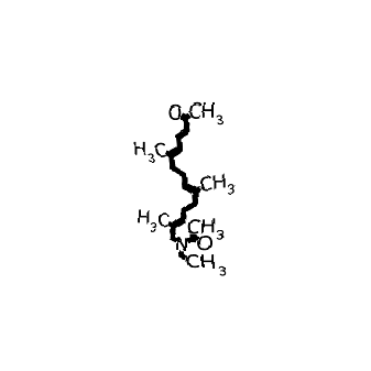 CCN(CC(C)=CCCC(C)=CCCC(C)=CCCC(C)=O)C(C)=O